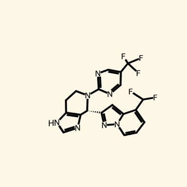 FC(F)c1cccn2nc([C@@H]3c4nc[nH]c4CCN3c3ncc(C(F)(F)F)cn3)cc12